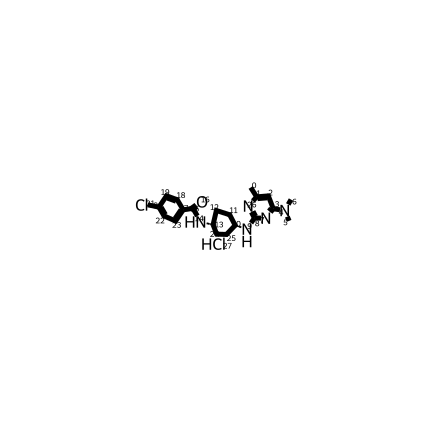 Cc1cc(N(C)C)nc(N[C@H]2CC[C@@H](NC(=O)c3ccc(Cl)cc3)CC2)n1.Cl